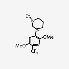 CCN1CCC[C@@H](c2cc(OC)c(C(F)(F)F)cc2OC)C1